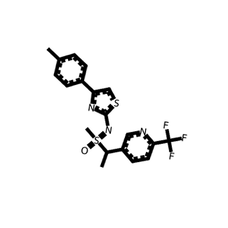 Cc1ccc(-c2csc(N=S(C)(=O)C(C)c3ccc(C(F)(F)F)nc3)n2)cc1